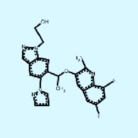 CC(Oc1cc2cc(F)cc(F)c2nc1N)c1cc2c(cnn2CCO)cc1-n1cccn1